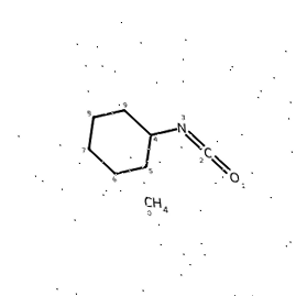 C.O=C=NC1CCCCC1